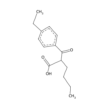 CCCCC(C(=O)O)C(=O)c1ccc(CC)cc1